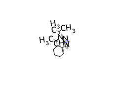 CC(C)N(/N=N\C1=CCCCC1)C(C)C